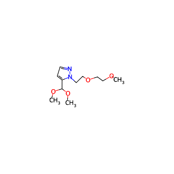 COCCOCCn1nccc1C(OC)OC